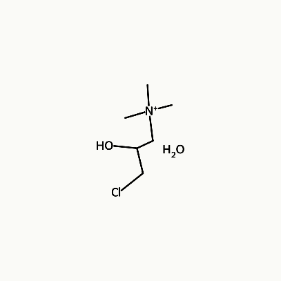 C[N+](C)(C)CC(O)CCl.O